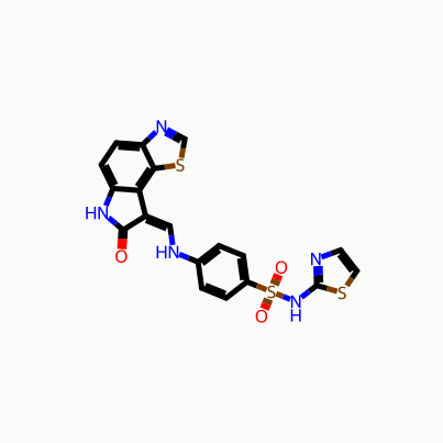 O=C1Nc2ccc3ncsc3c2C1=CNc1ccc(S(=O)(=O)Nc2nccs2)cc1